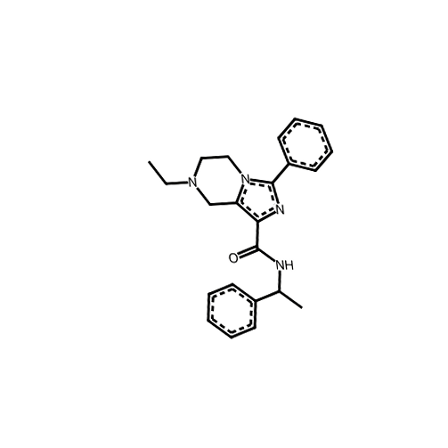 CCN1CCn2c(-c3ccccc3)nc(C(=O)NC(C)c3ccccc3)c2C1